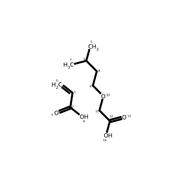 C=CC(=O)O.CC(C)CCOCC(=O)O